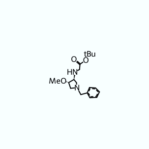 CO[C@H]1CN(Cc2ccccc2)C[C@@H]1NCC(=O)OC(C)(C)C